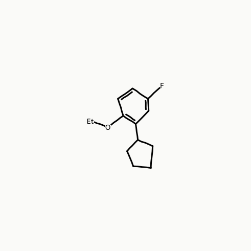 CCOc1ccc(F)cc1C1CCCC1